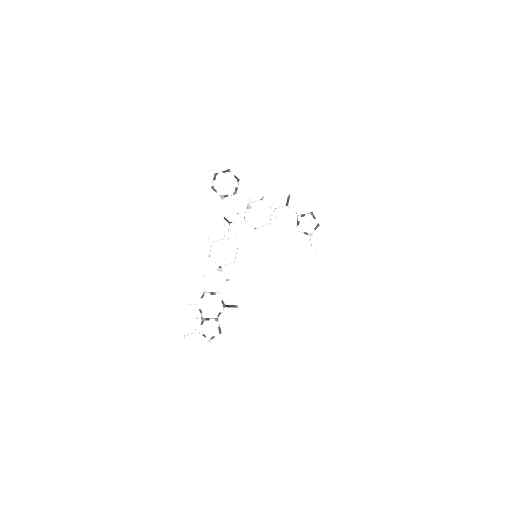 Cn1ccc2c(=O)n(CC3(O)CCN(C(=O)[C@@H]4CCN(C(=O)c5ccc(Br)s5)C[C@H]4c4ccccc4)CC3)cnc21